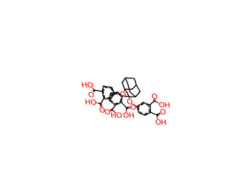 O=C(O)c1ccc(OC23CC4CC(CC(C4)C2(Oc2ccc(C(=O)O)c(C(=O)O)c2)c2cccc(C(=O)O)c2C(=O)O)C3)cc1C(=O)O